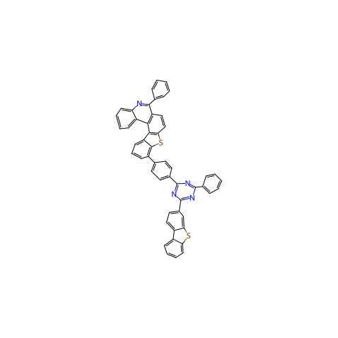 c1ccc(-c2nc(-c3ccc(-c4cccc5c4sc4ccc6c(-c7ccccc7)nc7ccccc7c6c45)cc3)nc(-c3ccc4c(c3)sc3ccccc34)n2)cc1